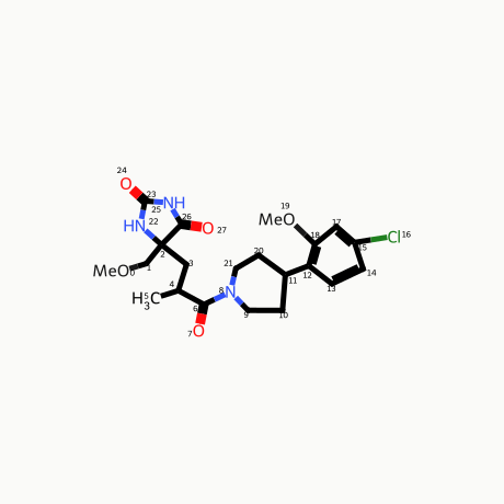 COCC1(CC(C)C(=O)N2CCC(c3ccc(Cl)cc3OC)CC2)NC(=O)NC1=O